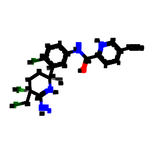 COc1ccc(C(=O)Nc2ccc(F)c([C@]3(C)CC[C@](F)(CF)C(N)=N3)c2)nc1